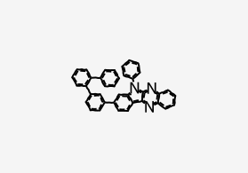 c1ccc(-c2ccccc2-c2cccc(-c3ccc4c5nc6ccccc6nc5n(-c5ccccc5)c4c3)c2)cc1